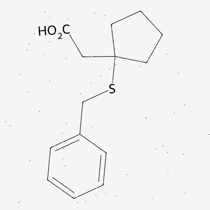 O=C(O)CC1(SCc2ccccc2)CCCC1